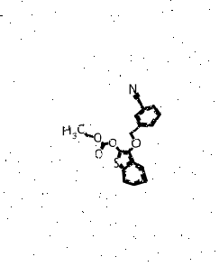 CCOC(=O)Oc1sc2ccccc2c1OCc1cccc(C#N)c1